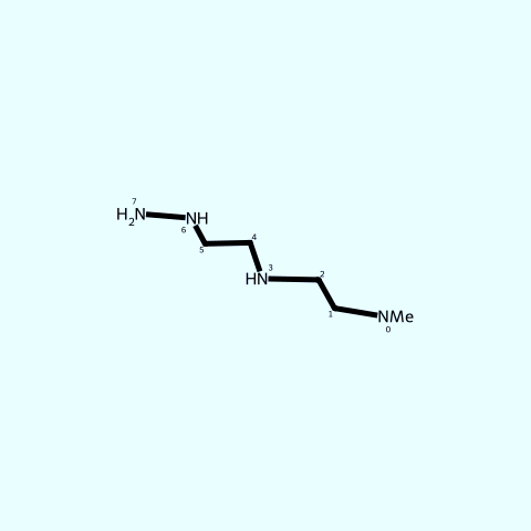 CNCCNCCNN